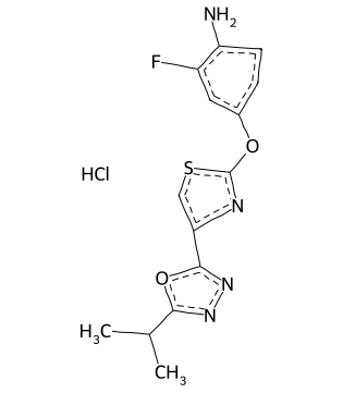 CC(C)c1nnc(-c2csc(Oc3ccc(N)c(F)c3)n2)o1.Cl